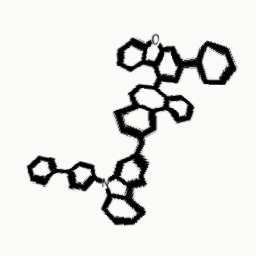 C1=CCC(c2cc3c(c(C4CCc5ccc(-c6ccc7c8ccccc8n(-c8ccc(-c9ccccc9)cc8)c7c6)cc5-c5ccccc54)c2)C2CC=CC=C2O3)C=C1